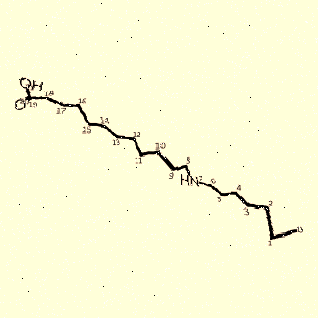 CCCCCCCNCCCCCCCCCCCC(=O)O